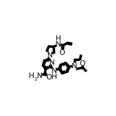 C=CC(=O)NC1CCN(c2ccc(C(N)=O)c(Nc3ccc(N4CC(C)OC(C)C4)cc3)n2)C1